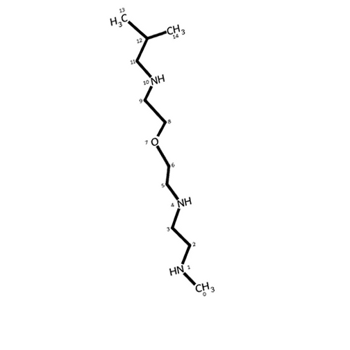 CNCCNCCOCCNCC(C)C